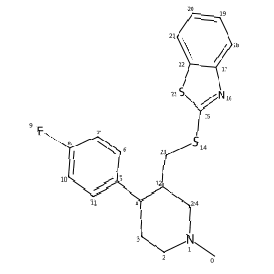 CN1CCC(c2ccc(F)cc2)C(CSc2nc3ccccc3s2)C1